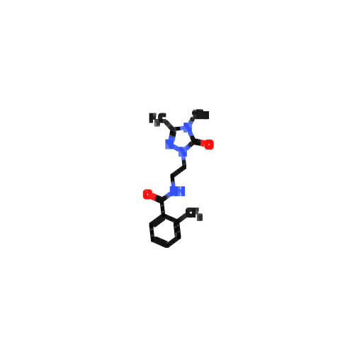 CC(C)(C)n1c(C(F)(F)F)nn(CCNC(=O)c2ccccc2C(F)(F)F)c1=O